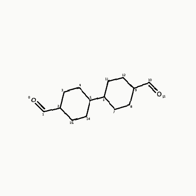 O=CC1CCC(C2CCC(C=O)CC2)CC1